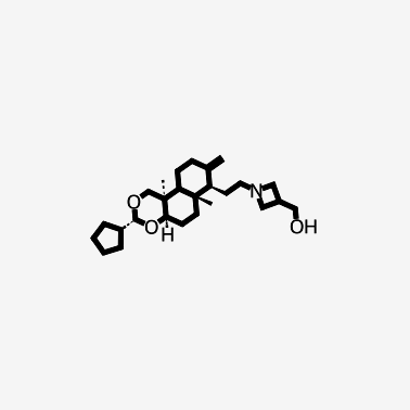 C=C1CCC2[C@]3(C)CO[C@@H](C4CCCC4)O[C@@H]3CC[C@@]2(C)[C@@H]1CCN1CC(CO)C1